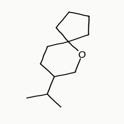 CC(C)C1CCC2(CCCC2)OC1